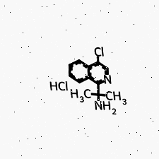 CC(C)(N)c1ncc(Cl)c2ccccc12.Cl